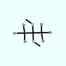 COC(OC)(C(Br)(Br)Br)C(Br)(Br)Br